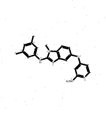 CC(=O)Nc1cc(Oc2ccc3c(c2)nc(Nc2cc(C)cc(C)c2)n3C)ccn1